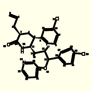 C=CC[C@H]1C[C@H](c2cccc(Cl)c2)[C@H](C(C)C(C)C(Oc2cccnc2)c2ccc(Cl)cc2)NC1=O